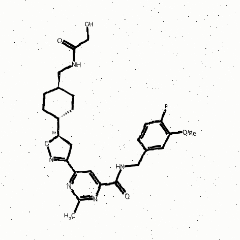 COc1cc(CNC(=O)c2cc(C3=NO[C@@H]([C@H]4CC[C@H](CNC(=O)CO)CC4)C3)nc(C)n2)ccc1F